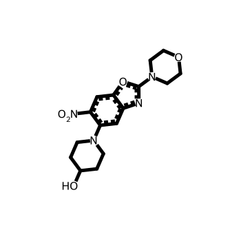 O=[N+]([O-])c1cc2oc(N3CCOCC3)nc2cc1N1CCC(O)CC1